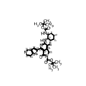 CC(C)(C)OC(=O)N[C@H]1CCCC[C@H]1Nc1nc(-c2cc3cnccc3s2)c2c(c1F)CN(C(=O)OC(C)(C)C)C2=O